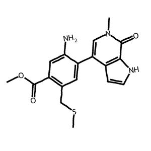 COC(=O)c1cc(N)c(-c2cn(C)c(=O)c3[nH]ccc23)cc1CSC